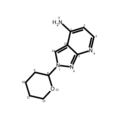 Nc1ccnc2nn(C3CCCCO3)cc12